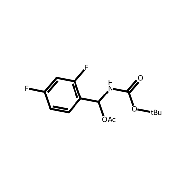 CC(=O)OC(NC(=O)OC(C)(C)C)c1ccc(F)cc1F